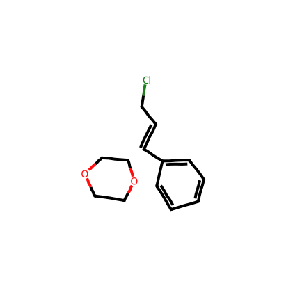 C1COCCO1.ClCC=Cc1ccccc1